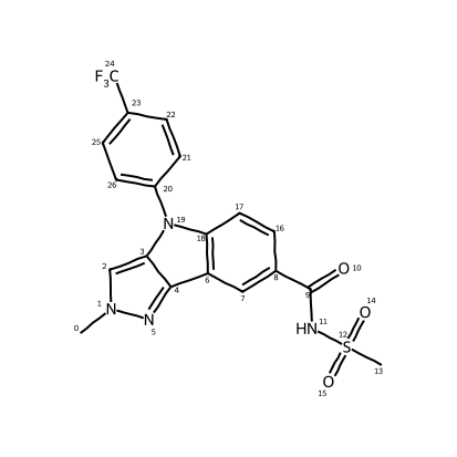 Cn1cc2c(n1)c1cc(C(=O)NS(C)(=O)=O)ccc1n2-c1ccc(C(F)(F)F)cc1